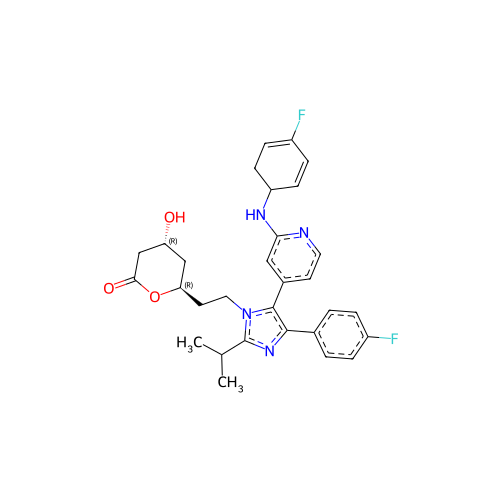 CC(C)c1nc(-c2ccc(F)cc2)c(-c2ccnc(NC3C=CC(F)=CC3)c2)n1CC[C@@H]1C[C@@H](O)CC(=O)O1